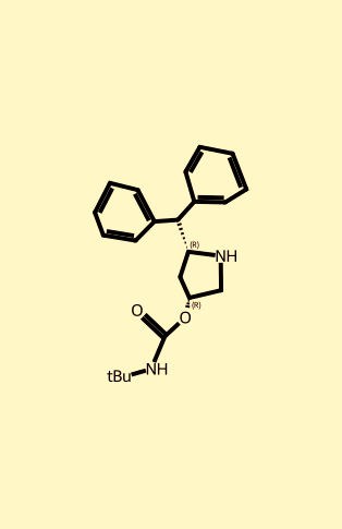 CC(C)(C)NC(=O)O[C@H]1CN[C@@H](C(c2ccccc2)c2ccccc2)C1